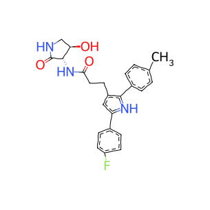 Cc1ccc(-c2[nH]c(-c3ccc(F)cc3)cc2CCC(=O)N[C@@H]2C(=O)NC[C@H]2O)cc1